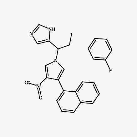 CCC(c1cnc[nH]1)n1cc(-c2cccc3ccccc23)c([N+](=O)[O-])c1.Fc1ccccc1